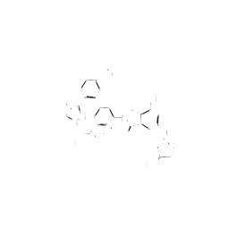 CC(C)CNc1cc(-c2cc(C#N)ccc2-c2nncn2C)cc(N2Cc3c(cc(CN4CC[C@@H](O)C4)cc3C(F)(F)F)C2=O)n1